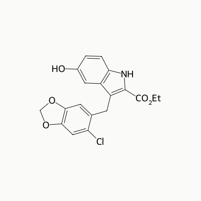 CCOC(=O)c1[nH]c2ccc(O)cc2c1Cc1cc2c(cc1Cl)OCO2